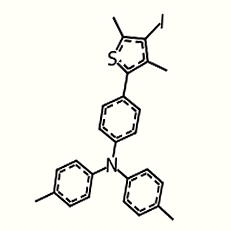 Cc1ccc(N(c2ccc(C)cc2)c2ccc(-c3sc(C)c(I)c3C)cc2)cc1